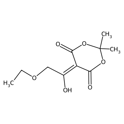 CCOCC(O)=C1C(=O)OC(C)(C)OC1=O